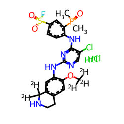 Cl.Cl.[2H]C([2H])([2H])Oc1cc2c(cc1Nc1ncc(Cl)c(Nc3ccc(S(=O)(=O)F)cc3P(C)(C)=O)n1)C([2H])([2H])NCC2